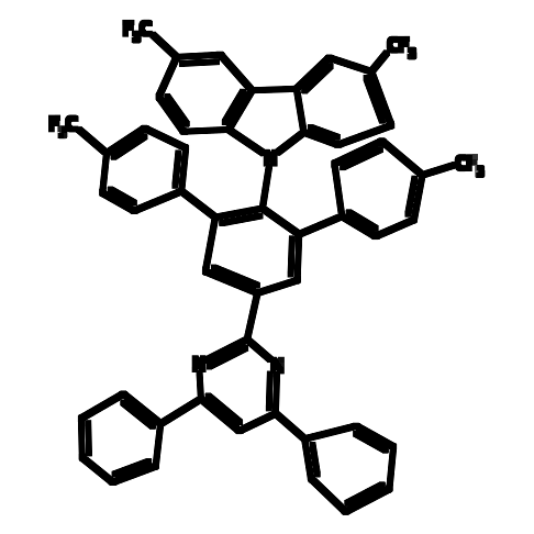 FC(F)(F)c1ccc(-c2cc(-c3nc(-c4ccccc4)cc(-c4ccccc4)n3)cc(-c3ccc(C(F)(F)F)cc3)c2-n2c3ccc(C(F)(F)F)cc3c3cc(C(F)(F)F)ccc32)cc1